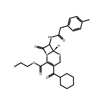 Cc1ccc(CC(=O)NC2C(=O)N3C(C(=O)OCCI)=C(C(=O)C4CCCCC4)CS[C@@H]23)cc1